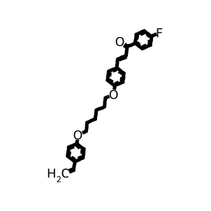 C=Cc1ccc(OCCCCCCOc2ccc(C=CC(=O)c3ccc(F)cc3)cc2)cc1